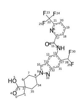 CCC1(C(=O)O)CCC(n2cc3cc(NC(=O)c4cccc(C(F)(F)F)n4)c(C(F)F)cc3n2)CC1